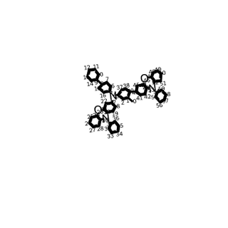 Cc1cc(N(c2ccc(-c3ccccc3)cc2)c2ccc3c(c2)Oc2ccccc2N3c2ccccc2)ccc1-c1ccc2c(c1)Oc1ccccc1N2c1ccccc1